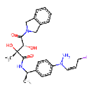 C[C@@H](NC(=O)[C@](C)(O)[C@@H](O)C(=O)N1Cc2ccccc2C1)c1ccc(N(N)/C=C\CI)cc1